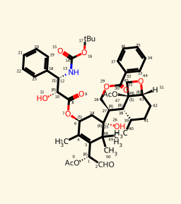 CC(=O)O[C@@H](C=O)C1=C(C)[C@@H](OC(=O)[C@H](O)[C@@H](NC(=O)OC(C)(C)C)c2ccccc2)C[C@@](O)([C@@H](COC(=O)c2ccccc2)[C@H]2C(C)CC[C@H]3OC[C@@]23OC(C)=O)C1(C)C